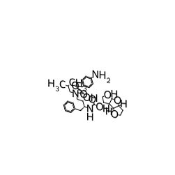 CC(C)CN(C[C@@H](O)[C@H](Cc1ccccc1)NC(=O)O[C@H]1CO[C@H]2O[C@@H]3CCO[C@@H]3[C@H]21)S(=O)(=O)c1ccc(N)cc1